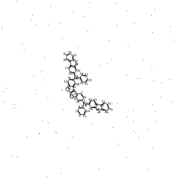 c1ccc(N(c2ccc3c(c2)oc2oc4ccc(N(c5ccccc5)c5ccc6c(c5)sc5ccccc56)cc4c23)c2ccc3c(c2)sc2ccccc23)cc1